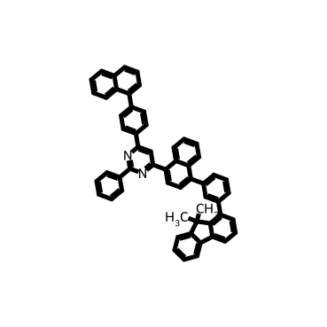 CC1(C)c2ccccc2-c2cccc(-c3cccc(-c4ccc(-c5cc(-c6ccc(-c7cccc8ccccc78)cc6)nc(-c6ccccc6)n5)c5ccccc45)c3)c21